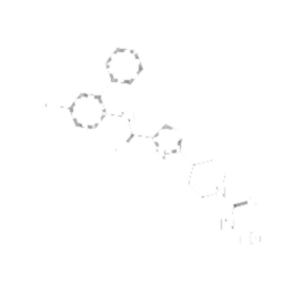 CCCCNC(=S)N1CCC(c2nc(C(=O)Nc3ccc(C)cc3-c3ccccc3)cs2)CC1